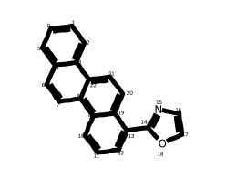 c1ccc2c(c1)ccc1c3cccc(-c4ncco4)c3ccc21